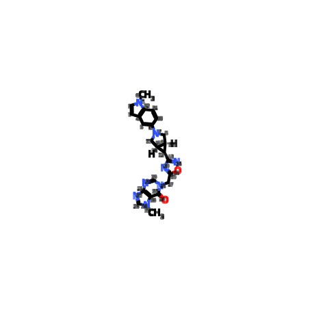 Cn1ccc2cc(N3C[C@@H]4[C@H](C3)[C@@H]4c3noc(Cn4cnc5ncn(C)c5c4=O)n3)ccc21